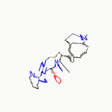 Cc1c(-c2cccc3c2CCN3C)cc2cnn(-c3ncccn3)c(=O)n12